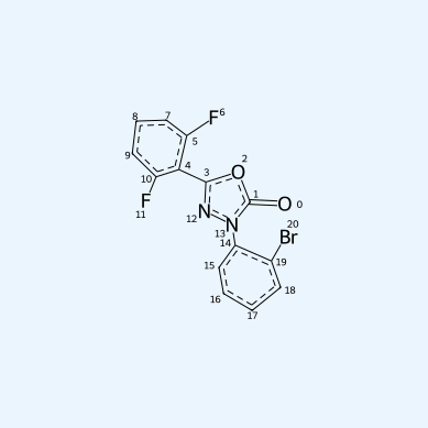 O=c1oc(-c2c(F)cccc2F)nn1-c1ccccc1Br